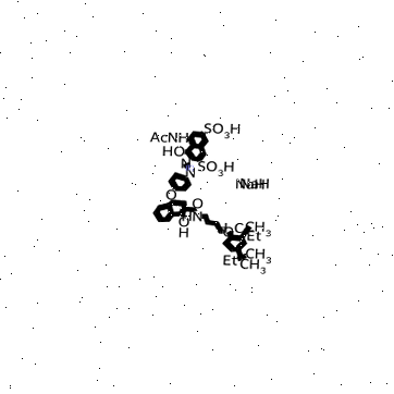 CCC(C)(C)c1ccc(OCCCCNC(=O)c2cc(Oc3ccc(/N=N/c4c(S(=O)(=O)O)cc5cc(S(=O)(=O)O)cc(NC(C)=O)c5c4O)cc3)c3ccccc3c2O)c(C(C)(C)CC)c1.[NaH].[NaH]